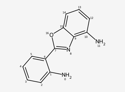 Nc1ccccc1-c1nc2c(N)cccc2o1